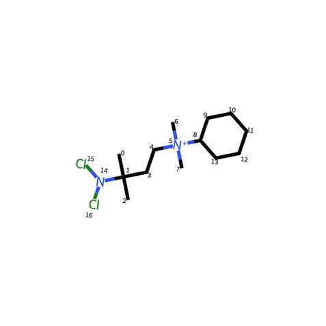 CC(C)(CC[N+](C)(C)C1CCCCC1)N(Cl)Cl